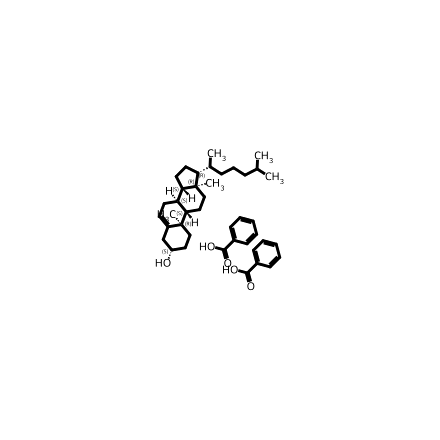 CC(C)CCCC(C)[C@H]1CC[C@H]2[C@@H]3CC=C4C[C@@H](O)CC[C@]4(C)[C@H]3CC[C@]12C.O=C(O)c1ccccc1.O=C(O)c1ccccc1